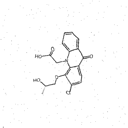 C[C@H](O)COc1c(Cl)ccc2c(=O)c3ccccc3n(CC(=O)O)c12